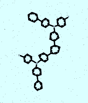 Fc1ccc(N(c2ccc(-c3ccccc3)cc2)c2ccc(-c3cccc(-c4ccc(N(c5ccc(F)cc5)c5ccc(-c6ccccc6)cc5)cc4)c3)cc2)cc1